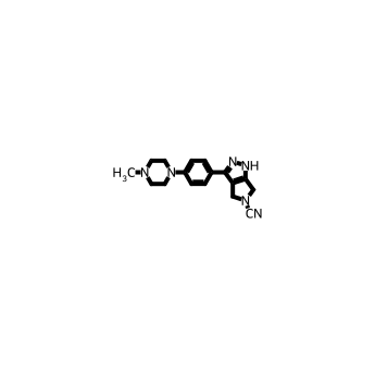 CN1CCN(c2ccc(-c3n[nH]c4c3CN(C#N)C4)cc2)CC1